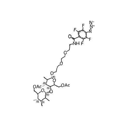 CC(=O)OCC1O[C@@H](O[C@@H]2C(COC(C)=O)O[C@@H](OCCOCCOCCNC(=O)c3c(F)c(F)c(N=[N+]=[N-])c(F)c3F)C(C)[C@H]2C)C(C)[C@@H](C)[C@@H]1C